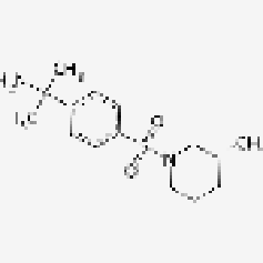 C[C@@H]1CCCN(S(=O)(=O)c2ccc(C(C)(C)N)cc2)C1